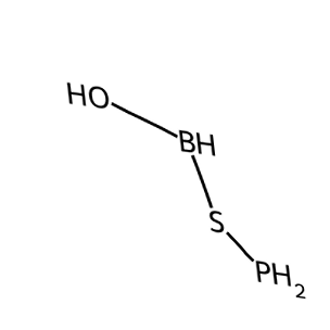 OBSP